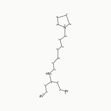 CC(C)CCC(CCC(C)C)NCCCCCCCN1CCCC1